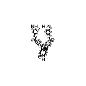 NCc1cccc(CCC(=O)N2CCN(C(=O)C[N+]3(CC(=O)N4CCN(C(=O)CCc5cccc(CN)c5)CC4)CCC(=O)NCCC3=O)CC2)c1